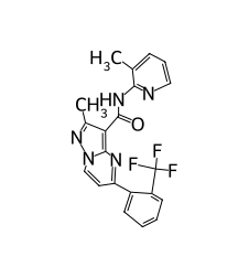 Cc1cccnc1NC(=O)c1c(C)nn2ccc(-c3ccccc3C(F)(F)F)nc12